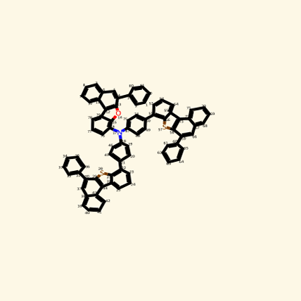 c1ccc(-c2cc3ccccc3c3c2oc2c(N(c4ccc(-c5cccc6c5sc5c(-c7ccccc7)cc7ccccc7c56)cc4)c4ccc(-c5cccc6c5sc5c(-c7ccccc7)cc7ccccc7c56)cc4)cccc23)cc1